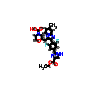 CCOC(=O)c1c[nH]c(-c2cc(F)c(-c3nc4cc(C)ccn4c3CC3CN(C(=O)O)CCO3)c(F)c2)n1